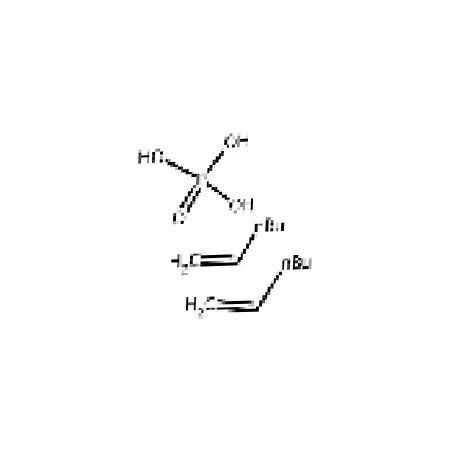 C=CCCCC.C=CCCCC.O=P(O)(O)O